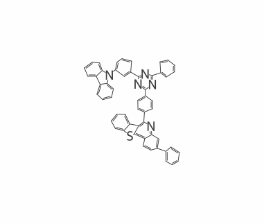 c1ccc(-c2ccc3c(c2)nc(-c2ccc(-c4nc(-c5ccccc5)nc(-c5cccc(-n6c7ccccc7c7ccccc76)c5)n4)cc2)c2c4ccccc4sc32)cc1